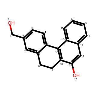 OCc1ccc2c(c1)CCc1c(O)cc3ccccc3c1-2